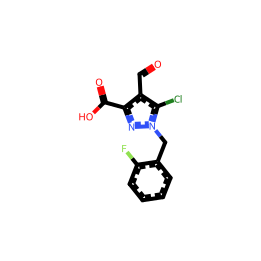 O=Cc1c(C(=O)O)nn(Cc2ccccc2F)c1Cl